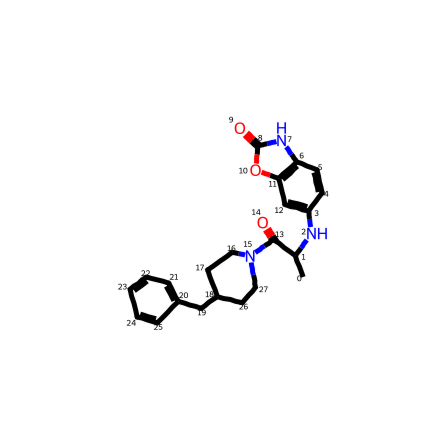 CC(Nc1ccc2[nH]c(=O)oc2c1)C(=O)N1CCC(Cc2ccccc2)CC1